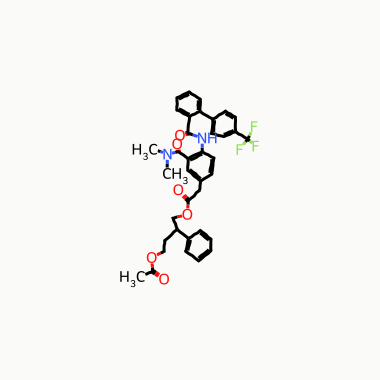 CC(=O)OCCC(COC(=O)Cc1ccc(NC(=O)c2ccccc2-c2ccc(C(F)(F)F)cc2)c(C(=O)N(C)C)c1)c1ccccc1